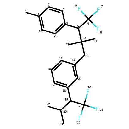 Cc1ccc(C(C(F)(F)F)C(C)(C)Cc2cccc(C(C(C)C)C(F)(F)F)c2)cc1